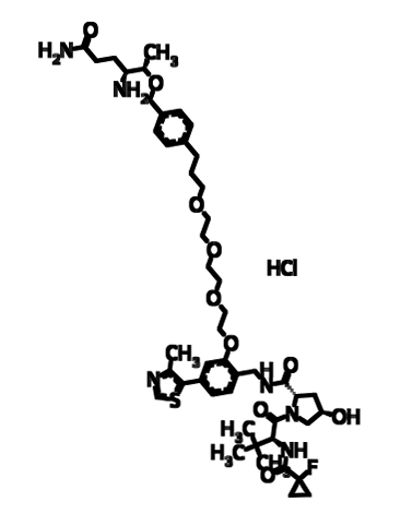 Cc1ncsc1-c1ccc(CNC(=O)[C@@H]2C[C@@H](O)CN2C(=O)[C@@H](NC(=O)C2(F)CC2)C(C)(C)C)c(OCCOCCOCCOCCCc2ccc(CO[C@H](C)[C@@H](N)CCC(N)=O)cc2)c1.Cl